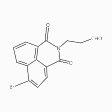 O=CCCN1C(=O)c2cccc3c(Br)ccc(c23)C1=O